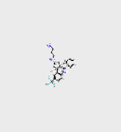 NCCCN[C@@H]1C[C@@H]2[C@H](C1)c1cc(C(F)(F)F)ccc1N[C@H]2C1C=CC=CC1